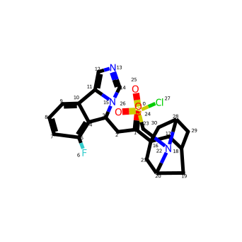 O=C(CC1c2c(F)cccc2-c2cncn21)C12CC3CC(C1)N(CS(=O)(=O)Cl)C(C3)C2